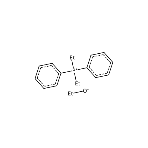 CC[O-].CC[P+](CC)(c1ccccc1)c1ccccc1